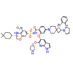 CC(C)c1ccccc1[C@H]1CCCN1C1CC2(CCN(c3ccc(C(=O)NS(=O)(=O)c4cc5c(c([N+](=O)[O-])c4)N[C@@H](C4CCC(C)(C)CC4)CO5)c(Oc4cc5cc[nH]c5nc4O[C@H]4CCNC4)c3)CC2)C1